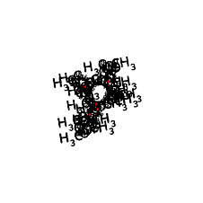 CON=C1CC(C)O[C@@H](O[C@@H]2[C@@H](C)[C@H](O[C@H]3CC(C)N(C)C[C@H](C)O3)C(C)C(=O)O[C@H](C(C)CCCC3O[C@H](C)[C@@H](OC(C)=O)[C@@H](O)[C@H]3OC)[C@H](C)[C@@H](OC(=O)CC(C)C)[C@@H](C)C(=O)[C@@](C)(OC(=O)N(C)C)C[C@@H]2C)[C@@H]1OC(C)=O